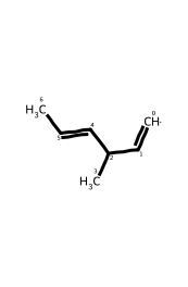 [CH]=CC(C)C=CC